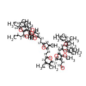 C=CC[C@@H]1O[C@@H]2[C@H]3O[C@@H]4CC(CC[C@H]5CC(=C)[C@H](CC[C@H]6C[C@@H](C)C(=C)[C@@H](C[C@@H]7O[C@H](C[C@@H](CO[Si](CC)(CC)CC)O[Si](CC)(CC)CC)[C@H](OC)[C@H]7CC=O)O6)O5)(O[C@H]3[C@H]1O[Si](CC)(CC)CC)O[C@H]24